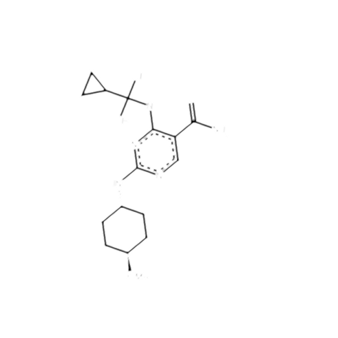 CO[C@H]1CC[C@H](Nc2ncc(C(N)=O)c(NC(C)(C)C3CC3)n2)CC1